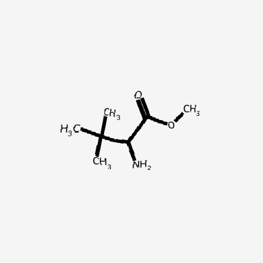 COC(=O)C(N)C(C)(C)C